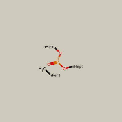 CCCCCC.CCCCCCCO[PH](=O)OCCCCCCC